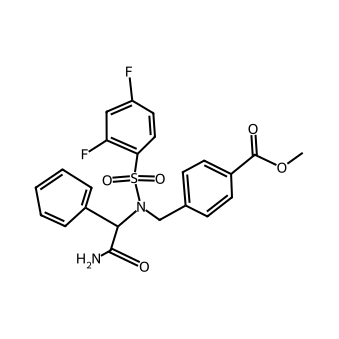 COC(=O)c1ccc(CN(C(C(N)=O)c2ccccc2)S(=O)(=O)c2ccc(F)cc2F)cc1